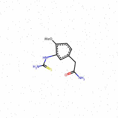 COc1ccc(CC(N)=O)cc1NC(N)=S